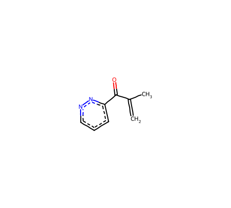 C=C(C)C(=O)c1cccnn1